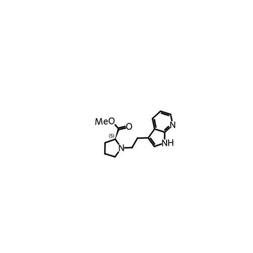 COC(=O)[C@@H]1CCCN1CCc1c[nH]c2ncccc12